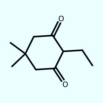 CCC1C(=O)CC(C)(C)CC1=O